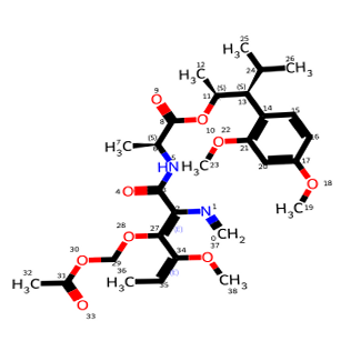 C=N/C(C(=O)N[C@@H](C)C(=O)O[C@@H](C)[C@H](c1ccc(OC)cc1OC)C(C)C)=C(OCOC(C)=O)\C(=C/C)OC